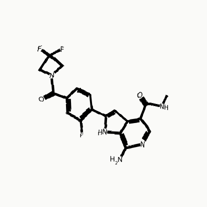 CNC(=O)c1cnc(N)c2[nH]c(-c3ccc(C(=O)N4CC(F)(F)C4)cc3F)cc12